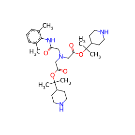 Cc1cccc(C)c1NC(=O)CN(CC(=O)OC(C)(C)C1CCNCC1)CC(=O)OC(C)(C)C1CCNCC1